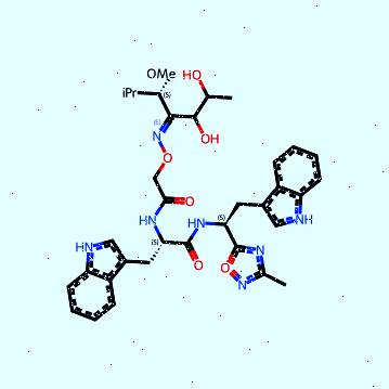 CO[C@H](/C(=N/OCC(=O)N[C@@H](Cc1c[nH]c2ccccc12)C(=O)N[C@@H](Cc1c[nH]c2ccccc12)c1nc(C)no1)C(O)C(C)O)C(C)C